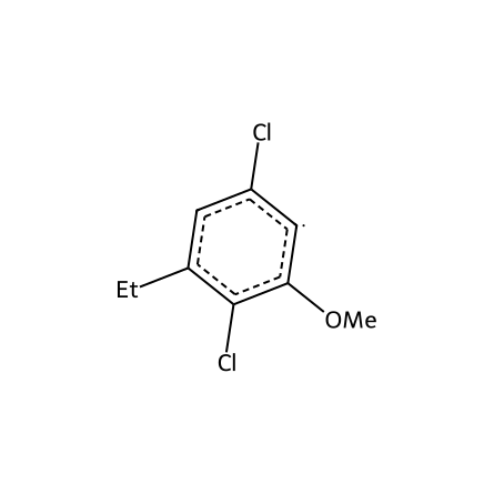 CCc1cc(Cl)[c]c(OC)c1Cl